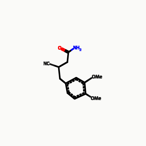 COc1ccc(CC(C#N)CC(N)=O)cc1OC